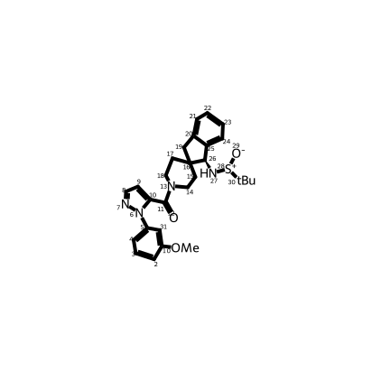 COc1cccc(-n2nccc2C(=O)N2CCC3(CC2)Cc2ccccc2[C@H]3N[S+]([O-])C(C)(C)C)c1